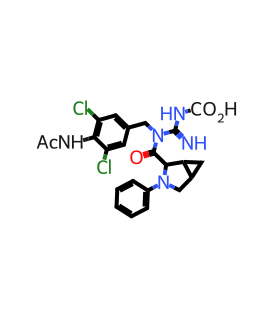 CC(=O)Nc1c(Cl)cc(CN(C(=N)NC(=O)O)C(=O)C2C3CC3CN2c2ccccc2)cc1Cl